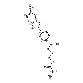 O=C(CCCCC(O)c1ccc(-c2cc3cc(O)ccc3o2)cc1)NO